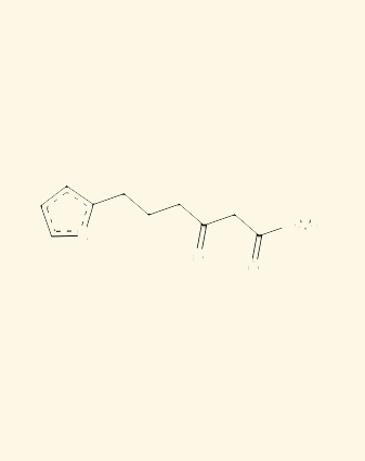 COC(=O)CC(=O)CCCc1cccs1